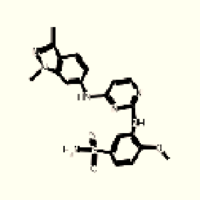 COc1ccc(S(N)(=O)=O)cc1Nc1nccc(Nc2ccc3c(C)nn(C)c3c2)n1